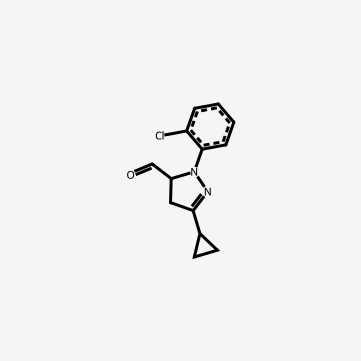 O=CC1CC(C2CC2)=NN1c1ccccc1Cl